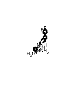 COc1cccc2/c(=N/C(=N)CN3CCc4ccc(-c5ccc(F)c(F)c5)cc4C3)[nH]c(N)nc12